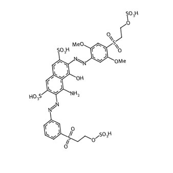 COc1cc(S(=O)(=O)CCOS(=O)(=O)O)c(OC)cc1/N=N/c1c(S(=O)(=O)O)cc2cc(S(=O)(=O)O)c(/N=N/c3cccc(S(=O)(=O)CCOS(=O)(=O)O)c3)c(N)c2c1O